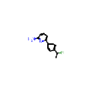 CC(Cl)c1ccc(-c2cccc(N)n2)cc1